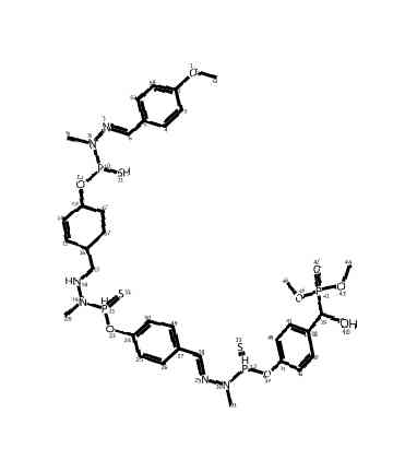 COc1ccc(/C=N/N(C)P(S)OC2C=CC(CNN(C)[PH](=S)Oc3ccc(/C=N/N(C)[PH](=S)Oc4ccc(C(O)P(=O)(OC)OC)cc4)cc3)CC2)cc1